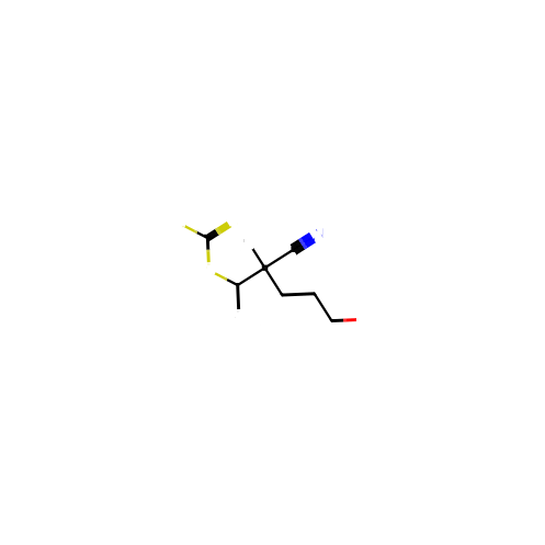 CC(SC(=S)S)C(C)(C#N)CCCO